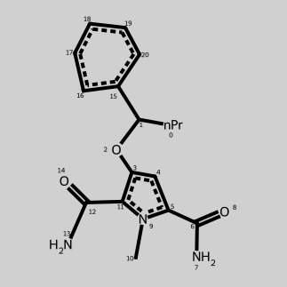 CCCC(Oc1cc(C(N)=O)n(C)c1C(N)=O)c1ccccc1